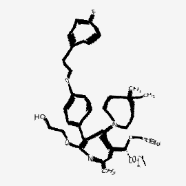 Cc1nc(OCCO)c(-c2ccc(OCCc3ccc(F)cc3)cc2)c(N2CCC(C)(C)CC2)c1[C@H](OC(C)(C)C)C(=O)O